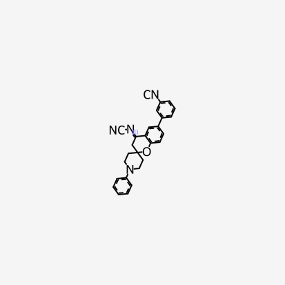 [C-]#[N+]c1cccc(-c2ccc3c(c2)/C(=N/C#N)CC2(CCN(c4ccccc4)CC2)O3)c1